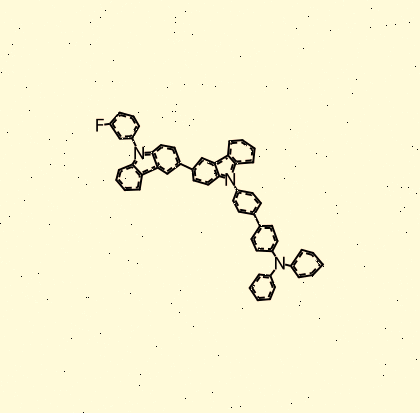 Fc1cccc(-n2c3ccccc3c3cc(-c4ccc5c(c4)c4ccccc4n5-c4ccc(-c5ccc(N(c6ccccc6)c6ccccc6)cc5)cc4)ccc32)c1